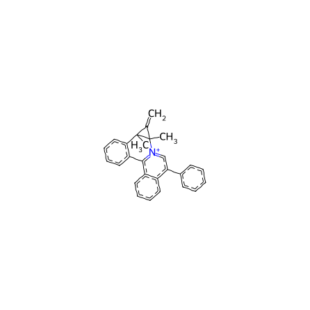 C=C1C2(C)c3ccccc3-c3c4ccccc4c(-c4ccccc4)c[n+]3C12C